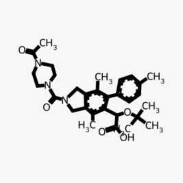 CC(=O)N1CCN(C(=O)N2Cc3c(C)c(-c4ccc(C)cc4)c(C(OC(C)(C)C)C(=O)O)c(C)c3C2)CC1